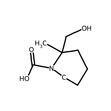 CC1(CO)CCCCN1C(=O)O